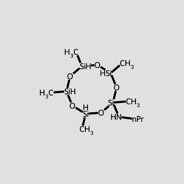 CCCN[Si]1(C)O[SiH](C)O[SiH](C)O[SiH](C)O[SiH](C)O1